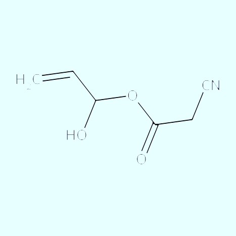 C=CC(O)OC(=O)CC#N